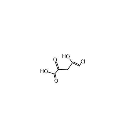 O=C(O)C(=O)CC(O)=CCl